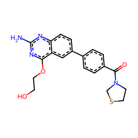 Nc1nc(OCCO)c2cc(-c3ccc(C(=O)N4CCSC4)cc3)ccc2n1